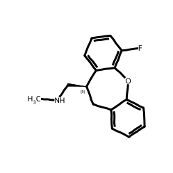 CNC[C@@H]1Cc2ccccc2Oc2c(F)cccc21